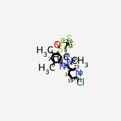 Cc1cc(C)c([S+]([O-])CC(F)(F)F)cc1/N=C(/c1ccc(Cl)nc1)N(C)C